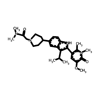 COc1cc(-c2[nH]c3ccc(C4CCN(CC(=O)N(C)C)CC4)cc3c2C(C)C)c(C)n(C)c1=O